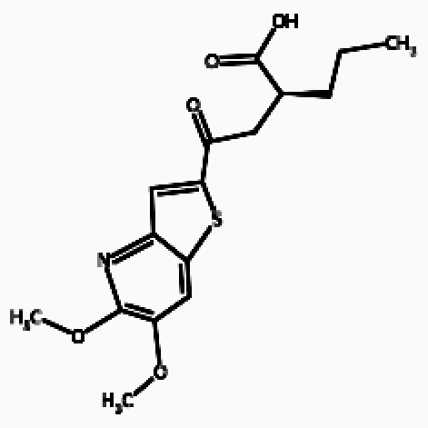 CCC[C@@H](CC(=O)c1cc2nc(OC)c(OC)cc2s1)C(=O)O